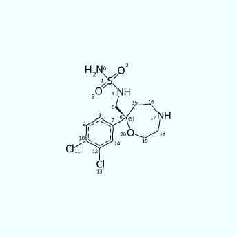 NS(=O)(=O)NC[C@@]1(c2ccc(Cl)c(Cl)c2)CCNCCO1